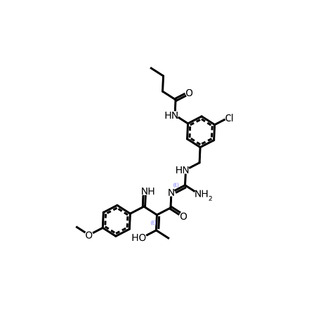 CCCC(=O)Nc1cc(Cl)cc(CN/C(N)=N/C(=O)/C(C(=N)c2ccc(OC)cc2)=C(\C)O)c1